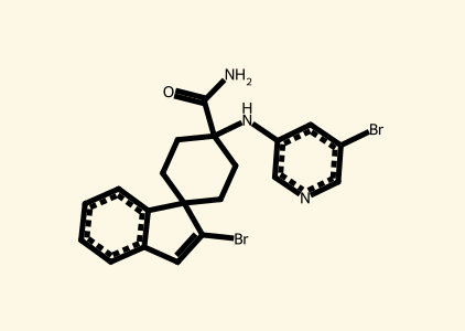 NC(=O)C1(Nc2cncc(Br)c2)CCC2(CC1)C(Br)=Cc1ccccc12